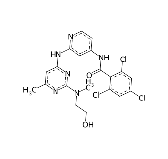 Cc1cc(Nc2cc(NC(=O)c3c(Cl)cc(Cl)cc3Cl)ccn2)nc(N(C)CCO)n1